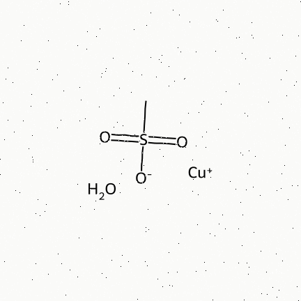 CS(=O)(=O)[O-].O.[Cu+]